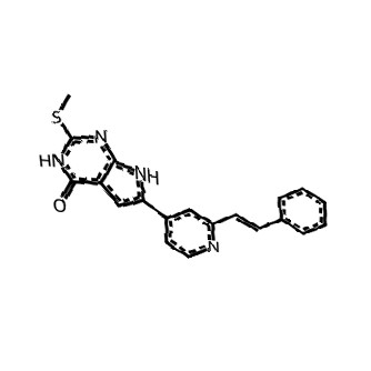 CSc1nc2[nH]c(-c3ccnc(C=Cc4ccccc4)c3)cc2c(=O)[nH]1